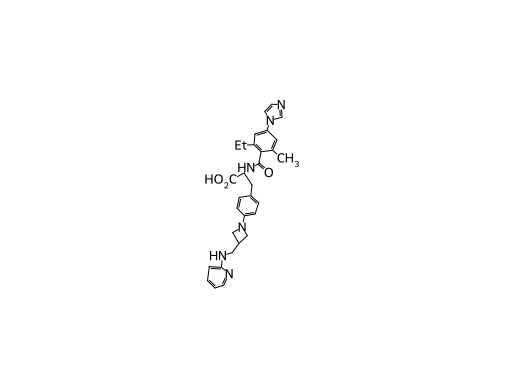 CCc1cc(-n2ccnc2)cc(C)c1C(=O)NC(Cc1ccc(N2CC(CNc3ccccn3)C2)cc1)C(=O)O